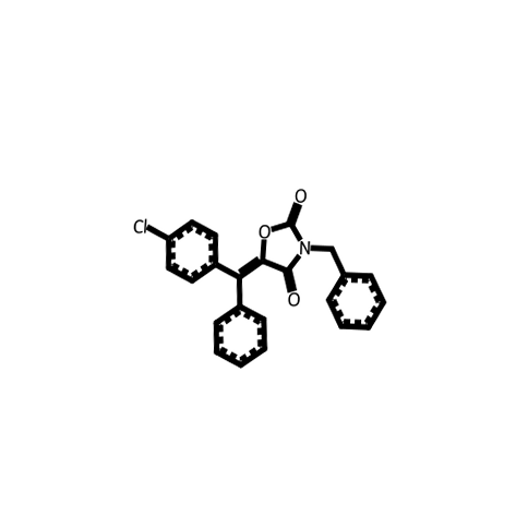 O=C1O/C(=C(/c2ccccc2)c2ccc(Cl)cc2)C(=O)N1Cc1ccccc1